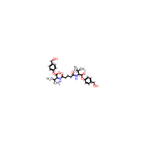 CC(C)C(NC(=O)CCCC(=O)NC(C(=O)Oc1ccc(CO)cc1)C(C)C)C(=O)Oc1ccc(CO)cc1